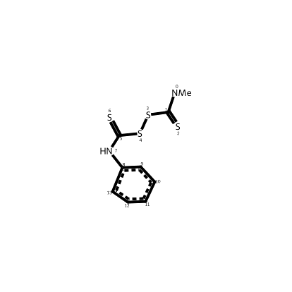 CNC(=S)SSC(=S)Nc1ccccc1